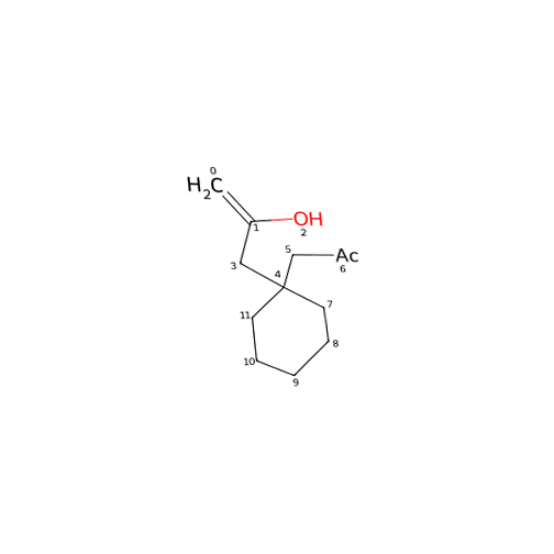 C=C(O)CC1(CC(C)=O)CCCCC1